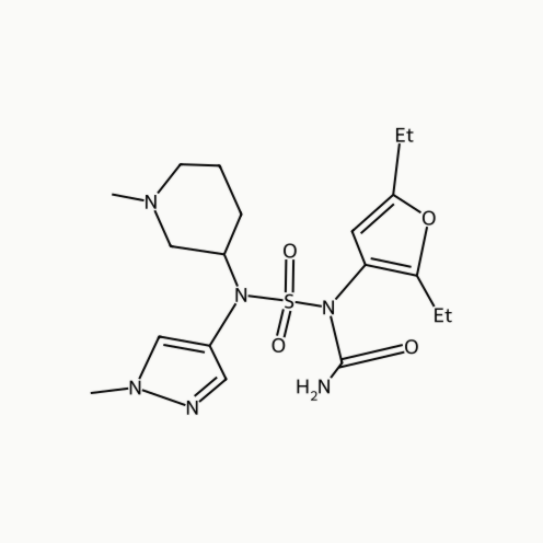 CCc1cc(N(C(N)=O)S(=O)(=O)N(c2cnn(C)c2)C2CCCN(C)C2)c(CC)o1